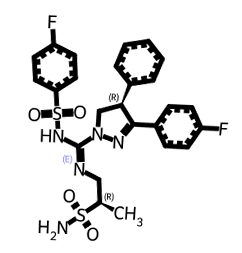 C[C@H](C/N=C(/NS(=O)(=O)c1ccc(F)cc1)N1C[C@@H](c2ccccc2)C(c2ccc(F)cc2)=N1)S(N)(=O)=O